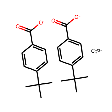 CC(C)(C)c1ccc(C(=O)[O-])cc1.CC(C)(C)c1ccc(C(=O)[O-])cc1.[Cd+2]